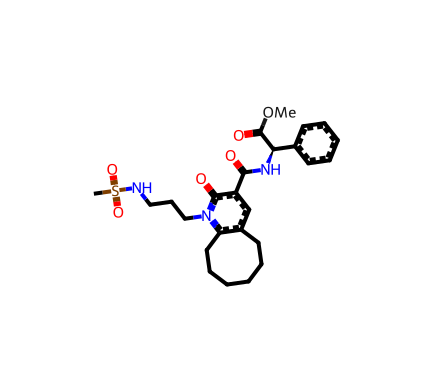 COC(=O)[C@H](NC(=O)c1cc2c(n(CCCNS(C)(=O)=O)c1=O)CCCCCC2)c1ccccc1